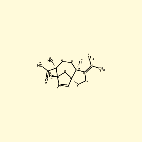 CC(C)=C1CC[C@]23C=N[C@@H](C2)[C@@](O)(C(=O)O)CC[C@@H]13